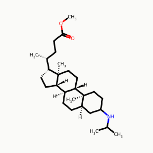 COC(=O)CC[C@@H](C)[C@H]1CC[C@H]2[C@@H]3CC[C@@H]4CC(NC(C)C)CC[C@]4(C)[C@H]3CC[C@]12C